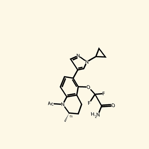 CC(=O)N1c2ccc(-c3cnn(C4CC4)c3)c(OC(F)(F)C(N)=O)c2CC[C@@H]1C